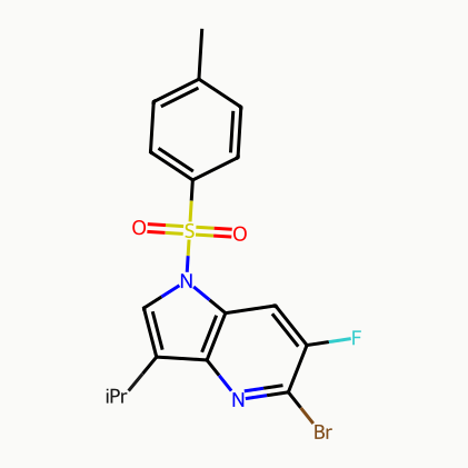 Cc1ccc(S(=O)(=O)n2cc(C(C)C)c3nc(Br)c(F)cc32)cc1